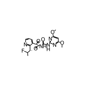 COc1cc(OC)nc(NC(=O)NS(=O)(=O)c2cccnc2[CH]C(C)F)n1